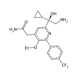 CCOc1c(CC(N)=O)cc([C@@](O)(CN)C2CC2)nc1-c1ccc(C(F)(F)F)cc1